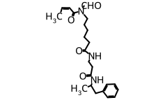 C/C=C\C(=O)N(C=O)CCCCCC(=O)NCCC(=O)NC(C)Cc1ccccc1